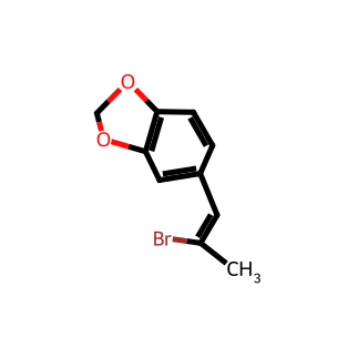 CC(Br)=Cc1ccc2c(c1)OCO2